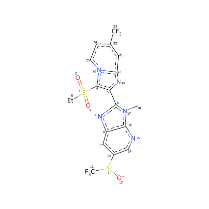 CCS(=O)(=O)c1c(-c2nc3cc([S+]([O-])C(F)(F)F)cnc3n2C)nc2cc(C(F)(F)F)ccn12